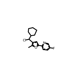 Cc1oc(-c2ccc(F)cn2)cc1C(Cl)C1CCCCC1